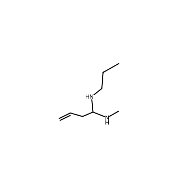 C=CCC(NC)NCCC